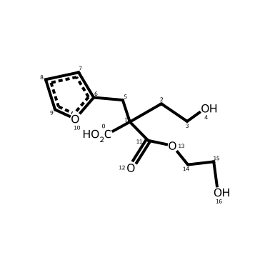 O=C(O)C(CCO)(Cc1ccco1)C(=O)OCCO